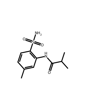 Cc1ccc(S(N)(=O)=O)c(NC(=O)C(C)C)c1